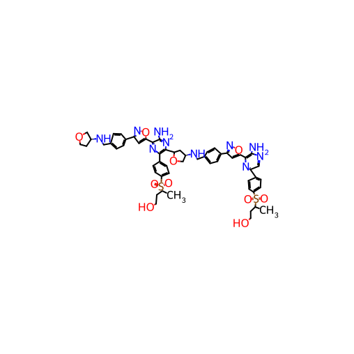 CC(CCO)S(=O)(=O)c1ccc(-c2cnc(N)c(-c3cc(-c4ccc(CN[C@H]5COC(c6nc(N)c(-c7cc(-c8ccc(CN[C@H]9CCOC9)cc8)no7)nc6-c6ccc(S(=O)(=O)C(C)CCO)cc6)C5)cc4)no3)n2)cc1